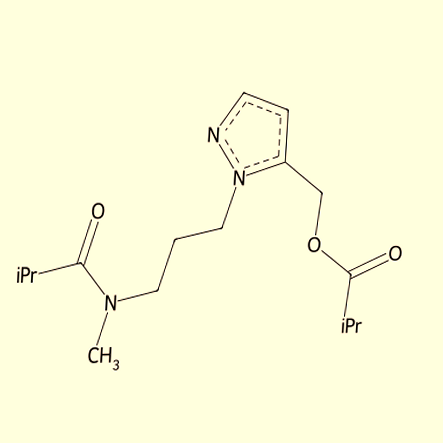 CC(C)C(=O)OCc1ccnn1CCCN(C)C(=O)C(C)C